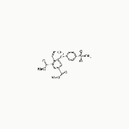 C/C=C\c1c(Oc2ccc(S(C)(=O)=O)cc2)cc(C(=O)OC)cc1C(=O)OC